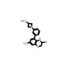 CCC1COc2cc(C(F)(F)F)cc(-c3cccc(N4CC(C(=O)O)C4)c3)c2N1